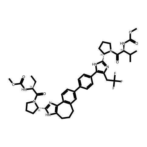 CC[C@H](NC(=O)OC)C(=O)N1CCC[C@H]1c1nc2c([nH]1)CCCc1cc(-c3ccc(-c4[nH]c([C@@H]5CCCN5C(=O)[C@@H](NC(=O)OC)C(C)C)nc4CC(F)(F)F)cc3)ccc1-2